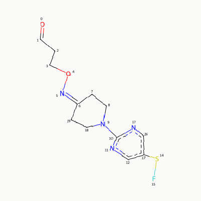 O=CCCON=C1CCN(c2ncc(SF)cn2)CC1